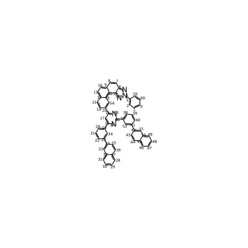 c1ccc(-n2nc3ccc4ccc5ccc(-c6cc(-c7cccc(-c8ccc9ccccc9c8)c7)nc(-c7cccc(-c8ccc9ccccc9c8)c7)n6)cc5c4c3n2)cc1